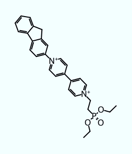 CCOP(=O)(CC[n+]1ccc(-c2cc[n+](-c3ccc4c(c3)Cc3ccccc3-4)cc2)cc1)OCC